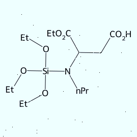 CCCN(C(CC(=O)O)C(=O)OCC)[Si](OCC)(OCC)OCC